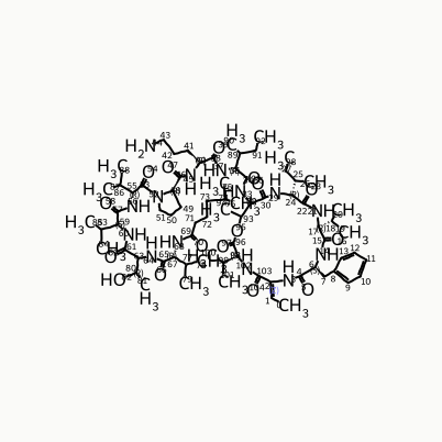 C/C=C1\NC(=O)[C@H](Cc2ccccc2)NC(=O)[C@@H](C(C)C)NC(=O)[C@@H](C(C)CC)NC(=O)[C@H](NC(=O)[C@H](NC(=O)[C@H](CCCN)NC(=O)[C@H]2CCCN2C(=O)[C@H](NC(=O)[C@@H](NC(=O)C(NC(=O)[C@H](NC(=O)CCCC(C)C)C(C)C)[C@@H](C)O)C(C)C)C(C)C)C(C)CC)C(C)OC(=O)[C@H](C(C)C)NC1=O